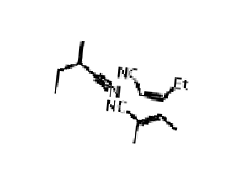 CC/C=C\C#N.CC=C(C)C#N.CCC(C)C#N